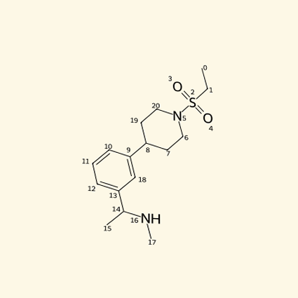 CCS(=O)(=O)N1CCC(c2cccc(C(C)NC)c2)CC1